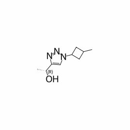 CC1CC(n2cc([C@@H](C)O)nn2)C1